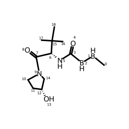 CBBC(=O)N[C@H](C(=O)N1CC[C@@H](O)C1)C(C)(C)C